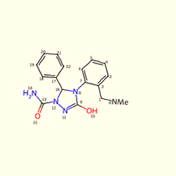 CNCc1ccccc1N1C(O)=NN(C(N)=O)C1c1ccccc1